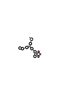 CC1C=CC=C(c2ccc(N(c3ccc(-c4ccc5c(c4)-c4ccccc4C54c5ccccc5C(C)(C)c5ccccc54)cc3)c3ccc(-c4ccc5ccccc5c4)cc3)cc2)C1